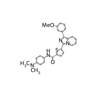 COc1cccc(-c2nc(-c3ccc(C(=O)Nc4ccc(N(C)C)cc4)s3)n3ccccc23)c1